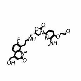 CNc1nc(N2C[C@H](CNCCc3c(F)ccc4c(CO)cc(=O)n(C)c34)OC2=O)ccc1OCC=O